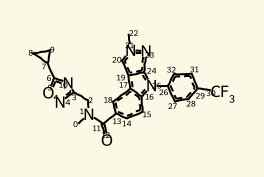 CN(Cc1noc(C2CC2)n1)C(=O)c1ccc2c(c1)c1cn(C)nc1n2-c1ccc(C(F)(F)F)cc1